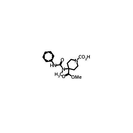 COC(=O)C1(N(C)C(=O)Nc2ccccc2)CCN(C(=O)O)CC1